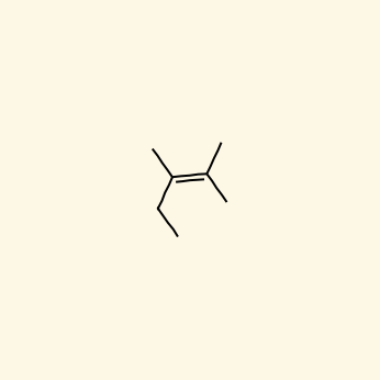 CCC(C)=C(C)C